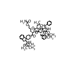 CC(C)C[C@@H](NC(=O)[C@@H](Cc1ccccc1)NC(=O)[C@@H](Cc1ccccc1)NC(=O)OC(C)(C)C)C(=O)N[C@H](CCCCOC(N)=O)C(=O)N1CCC2(CC1)c1ccccc1CC2N[S+]([O-])C(C)(C)C